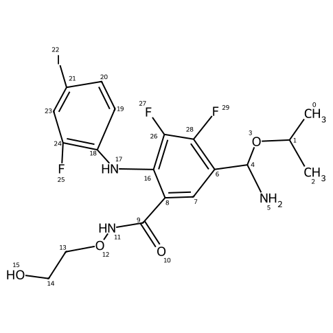 CC(C)OC(N)c1cc(C(=O)NOCCO)c(Nc2ccc(I)cc2F)c(F)c1F